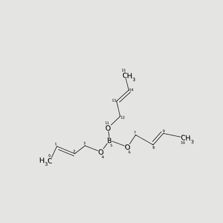 CC=CCOB(OCC=CC)OCC=CC